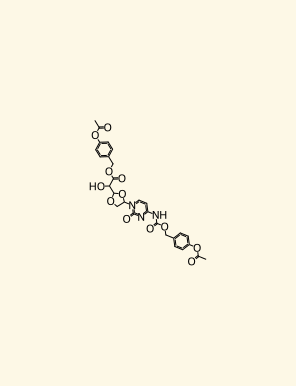 CC(=O)Oc1ccc(COC(=O)Nc2ccn(C3COC(C(O)C(=O)OCc4ccc(OC(C)=O)cc4)O3)c(=O)n2)cc1